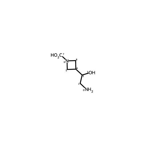 NCC(O)C1CN(C(=O)O)C1